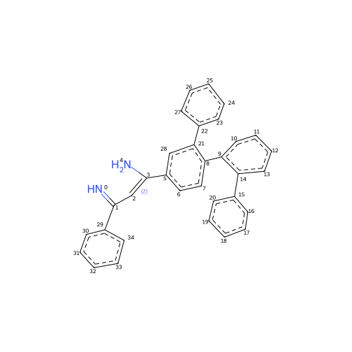 N=C(/C=C(\N)c1ccc(-c2ccccc2-c2ccccc2)c(-c2ccccc2)c1)c1ccccc1